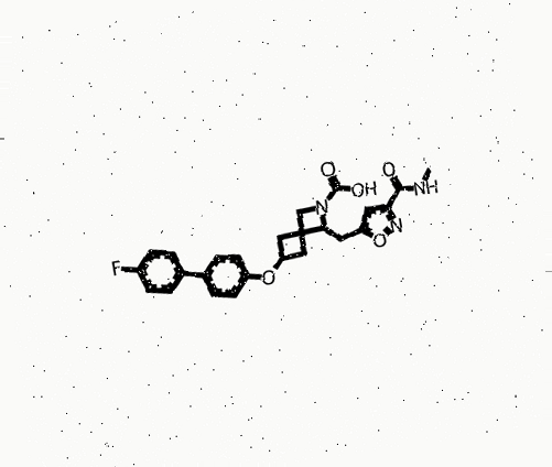 CNC(=O)c1cc(CC2N(C(=O)O)CC23CC(Oc2ccc(-c4ccc(F)cc4)cc2)C3)on1